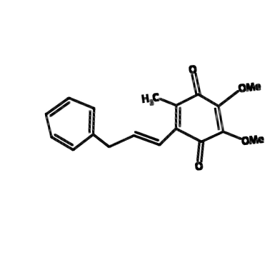 COC1=C(OC)C(=O)C(C=CCc2ccccc2)=C(C)C1=O